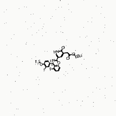 CC(C)(C)OC(=O)Cc1cc(C(=O)N[C@@H](c2ccc(OC(F)(F)F)c(F)c2)c2ncccc2F)c[nH]c1=O